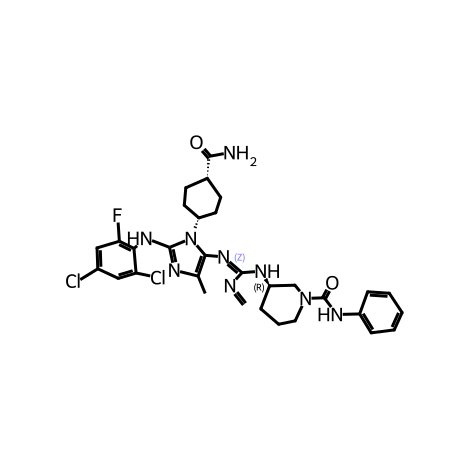 C=N/C(=N\c1c(C)nc(Nc2c(F)cc(Cl)cc2Cl)n1[C@H]1CC[C@@H](C(N)=O)CC1)N[C@@H]1CCCN(C(=O)Nc2ccccc2)C1